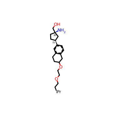 CC(C)CCOCCOC1CCc2cc([C@H]3CC[C@](N)(CO)C3)ccc2C1